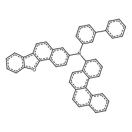 c1ccc(-c2cccc(N(c3ccc4c(ccc5c6ccccc6oc45)c3)c3cccc4c3ccc3ccc5ccccc5c34)c2)cc1